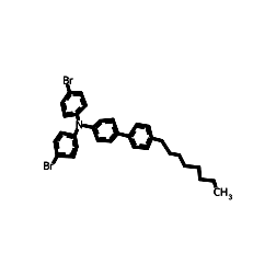 CCCCCCCCc1ccc(-c2ccc(N(c3ccc(Br)cc3)c3ccc(Br)cc3)cc2)cc1